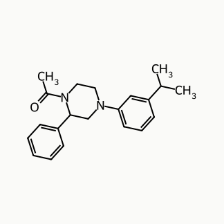 CC(=O)N1CCN(c2cccc(C(C)C)c2)CC1c1ccccc1